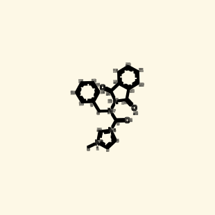 C[n+]1ccn(C(=O)N(Cc2ccccc2)N2C(=O)c3ccccc3C2=O)c1